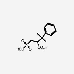 CC(C)(c1ccccc1)[C@H](CS(=O)(=O)C(C)(C)C)C(=O)O